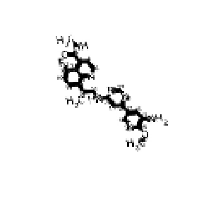 CNC(=O)c1ccnc2c([C@H](C)CNc3cc(-c4cnc(OC)c(N)c4)ncn3)ccc(F)c12